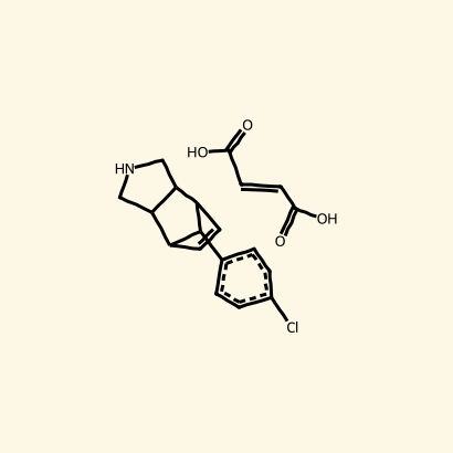 Clc1ccc(C2C3C=CC2C2CNCC32)cc1.O=C(O)C=CC(=O)O